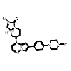 CCN1C[C@@H]2CN(c3ccnn4cc(-c5ccc(N6CCN(C(C)C)CC6)cc5)cc34)CCN2C1=O